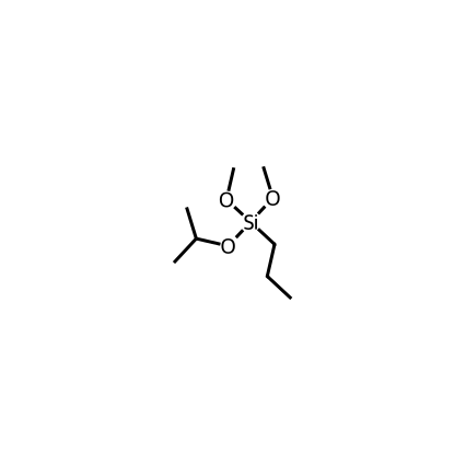 CCC[Si](OC)(OC)OC(C)C